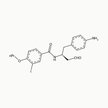 CCCOc1ccc(C(=O)N[C@H](CC=O)Cc2ccc(N)cc2)cc1I